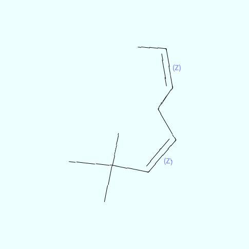 C/C=C\C/C=C\C(C)(C)C